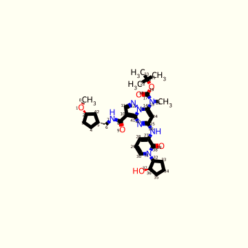 CO[C@@H]1CC[C@@H](CNC(=O)c2cnn3c(N(C)C(=O)OC(C)(C)C)cc(Nc4cccn(C5CCC[C@H]5O)c4=O)nc23)C1